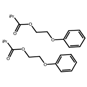 CC(C)C(=O)OCCOc1ccccc1.CC(C)C(=O)OCCOc1ccccc1